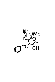 CO[C@H]1OC(C)[C@@H](O)C(OCc2ccccc2)C1N=[N+]=[N-]